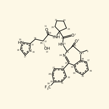 CN1C(=O)C(NC(=O)C2(NC(=O)[C@H](O)Cc3ncc[nH]3)CCCC2)N=C(c2ccc(C(F)(F)F)cc2)c2ccccc21